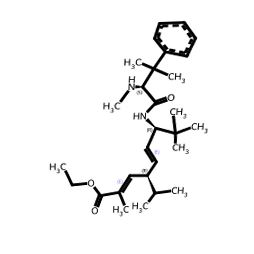 CCOC(=O)/C(C)=C/[C@@H](/C=C/[C@@H](NC(=O)[C@@H](NC)C(C)(C)c1ccccc1)C(C)(C)C)C(C)C